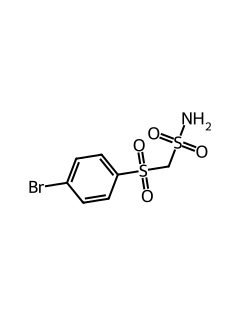 NS(=O)(=O)CS(=O)(=O)c1ccc(Br)cc1